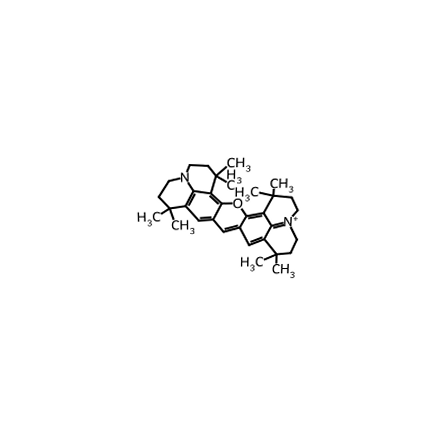 CC1(C)CCN2CCC(C)(C)c3c4c(cc1c32)C=c1cc2c3c(c1O4)C(C)(C)CC[N+]=3CCC2(C)C